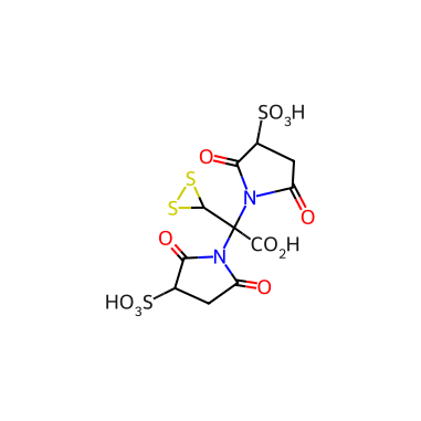 O=C1CC(S(=O)(=O)O)C(=O)N1C(C(=O)O)(C1SS1)N1C(=O)CC(S(=O)(=O)O)C1=O